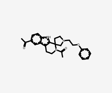 CC(=O)c1ccc2[nH]c3c(c2c1)CCN(C(C)=O)C31CCN(CCOc2ccccc2)C1